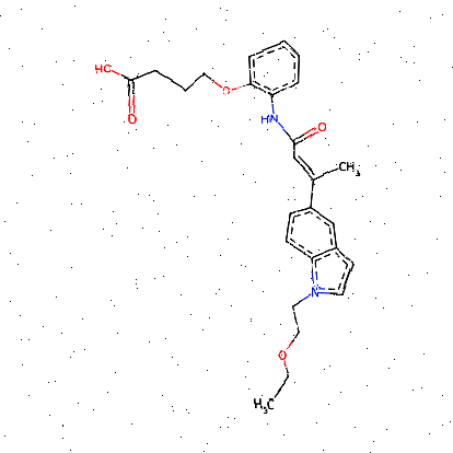 CCOCCn1ccc2cc(C(C)=CC(=O)Nc3ccccc3OCCCC(=O)O)ccc21